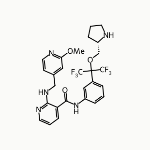 COc1cc(CNc2ncccc2C(=O)Nc2cccc(C(OC[C@@H]3CCCN3)(C(F)(F)F)C(F)(F)F)c2)ccn1